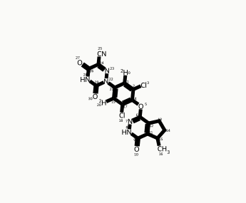 [2H]c1c(Cl)c(Oc2n[nH]c(=O)c3c2CCC3C)c(Cl)c([2H])c1-n1nc(C#N)c(=O)[nH]c1=O